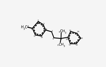 Cc1ccc(CCC(C)(C)c2ccccc2)cc1